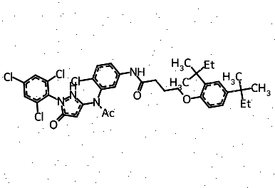 CCC(C)(C)c1ccc(OCCCC(=O)Nc2ccc(Cl)c(N(C(C)=O)c3cc(=O)n(-c4c(Cl)cc(Cl)cc4Cl)[nH]3)c2)c(C(C)(C)CC)c1